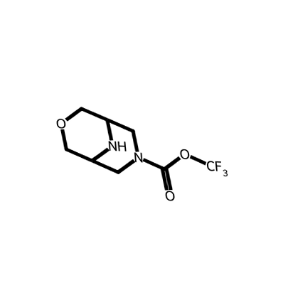 O=C(OC(F)(F)F)N1CC2COCC(C1)N2